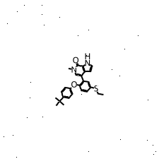 CCSc1ccc(Oc2ccc(C(C)(C)C)cc2)c(-c2cn(C)c(=O)c3[nH]ccc23)c1